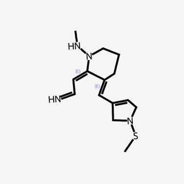 CNN1CCCC(=C\C2=CCN(SC)C2)/C1=C\C=N